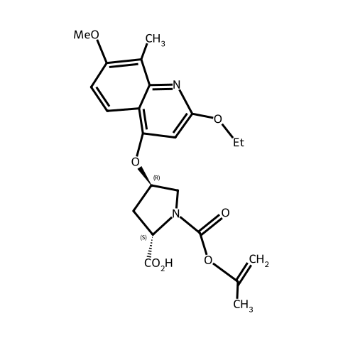 C=C(C)OC(=O)N1C[C@H](Oc2cc(OCC)nc3c(C)c(OC)ccc23)C[C@H]1C(=O)O